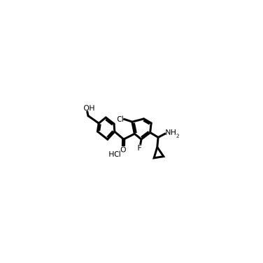 Cl.NC(c1ccc(Cl)c(C(=O)c2ccc(CO)cc2)c1F)C1CC1